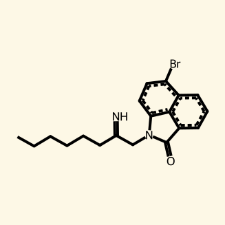 CCCCCCC(=N)CN1C(=O)c2cccc3c(Br)ccc1c23